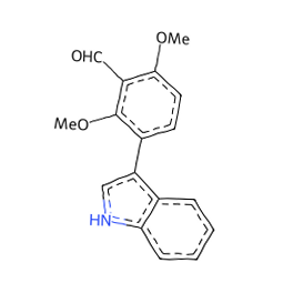 COc1ccc(-c2c[nH]c3ccccc23)c(OC)c1C=O